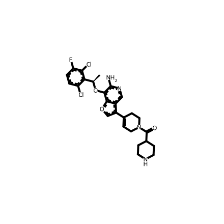 C[C@@H](Oc1c(N)ncc2c(C3=CCN(C(=O)C4CCNCC4)CC3)coc12)c1c(Cl)ccc(F)c1Cl